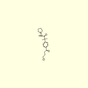 CC(C)(C(=O)NN1CCCC1)c1ccc(C(=O)CCCCl)cc1